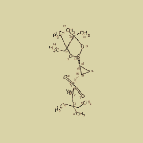 CC(C)(C)NS(=O)(=O)[C@H]1C[C@@H]1B1OC(C)(C)C(C)(C)O1